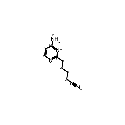 N#CCCCCc1nccc(N)n1